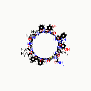 CCCC[C@H]1C(=O)N(CCC)CC(=O)N[C@@H](CO)C(=O)N[C@@H](C(C)C)C(=O)N(C)[C@@H](Cc2ccccc2)C(=O)N[C@@H](Cc2ccc(O)cc2)C(=O)N(C)CC(=O)N[C@@H](Cc2c[nH]c3ccccc23)C(=O)N[C@@H](Cc2ccc(O)cc2)C(=O)N[C@@H](CC(C)C)C(=O)N[C@H](C(=O)NCC(N)=O)CSCC(=O)N[C@@H](Cc2ccccc2)C(=O)N(C)C(Cc2ccccc2)C(=O)N1C